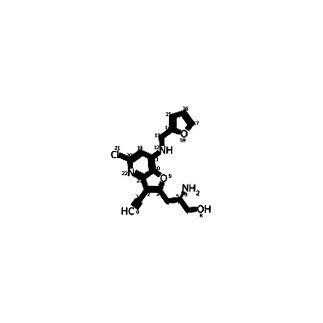 C#Cc1c(C[C@@H](N)CO)oc2c(NCc3ccco3)cc(Cl)nc12